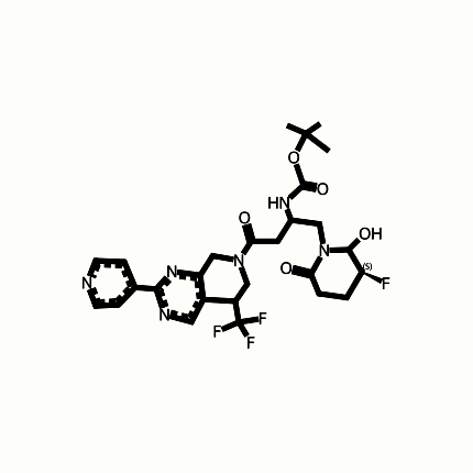 CC(C)(C)OC(=O)NC(CC(=O)N1Cc2nc(-c3ccncc3)ncc2C(C(F)(F)F)C1)CN1C(=O)CC[C@H](F)C1O